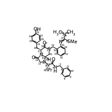 CCCN(C(=O)NCc1ccccc1)N1CC(=O)N2[C@@H](Cc3ccc(O)cc3)C(=O)N(Cc3ccccc3/N=C(\SC)N(C)C)C[C@@H]21